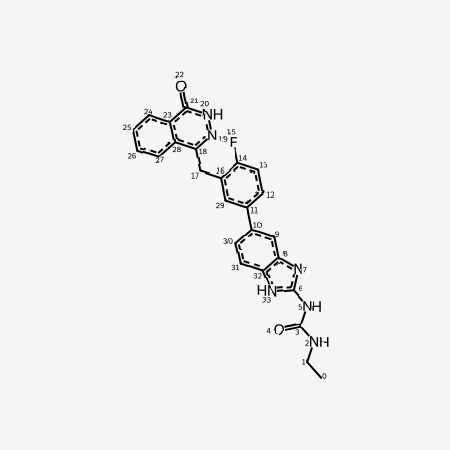 CCNC(=O)Nc1nc2cc(-c3ccc(F)c(Cc4n[nH]c(=O)c5ccccc45)c3)ccc2[nH]1